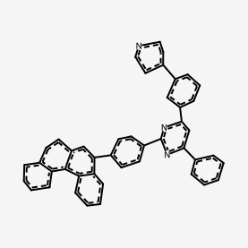 c1ccc(-c2cc(-c3cccc(-c4ccncc4)c3)nc(-c3ccc(-c4cc5ccc6ccccc6c5c5ccccc45)cc3)n2)cc1